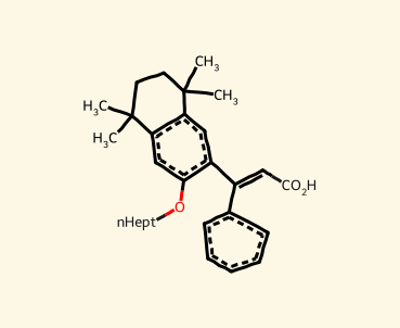 CCCCCCCOc1cc2c(cc1C(=CC(=O)O)c1ccccc1)C(C)(C)CCC2(C)C